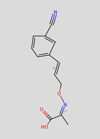 C/C(=N/OC/C=C/c1cccc(C#N)c1)C(=O)O